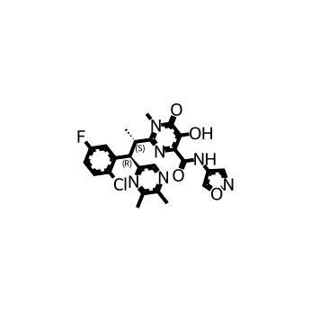 Cc1ncc([C@@H](c2cc(F)ccc2Cl)[C@H](C)c2nc(C(=O)Nc3cnoc3)c(O)c(=O)n2C)nc1C